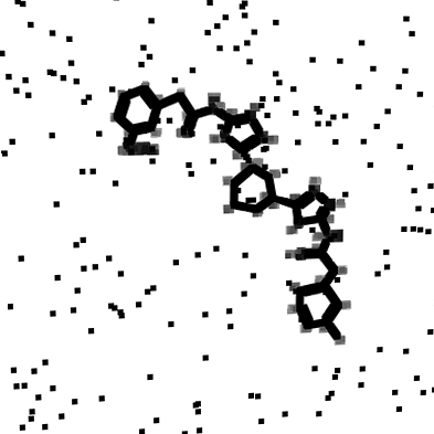 CC(=O)Nc1cccc(CC(=O)Nc2nnc([C@H]3CCC[C@H](c4nnc(NC(=O)Cc5cccc(C)c5)s4)C3)s2)c1